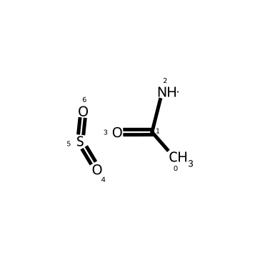 CC([NH])=O.O=S=O